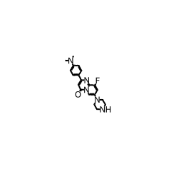 CN(C)c1ccc(-c2cc(=O)n3cc(N4CCNCC4)cc(F)c3n2)cc1